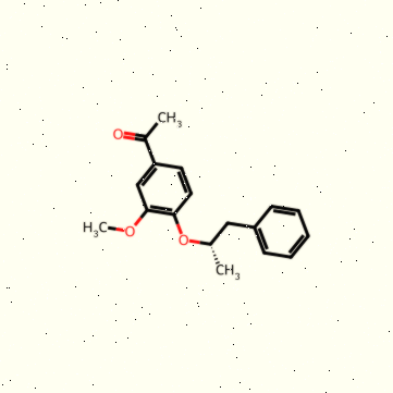 COc1cc(C(C)=O)ccc1O[C@@H](C)Cc1ccccc1